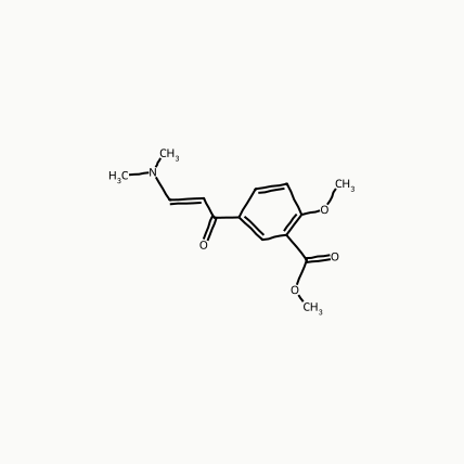 COC(=O)c1cc(C(=O)C=CN(C)C)ccc1OC